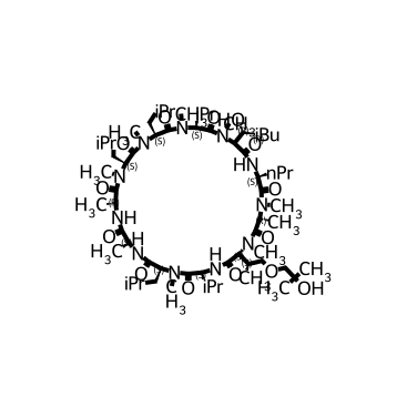 CCC[C@@H]1NC(=O)C([C@H](O)[C@H](C)CC)N(C)C(=O)[C@H](C(C)C)N(C)C(=O)[C@H](CC(C)C)N(C)C(=O)[C@H](CC(C)C)N(C)C(=O)[C@@H](C)NC(=O)[C@H](C)NC(=O)[C@H](CC(C)C)N(C)C(=O)[C@H](C(C)C)NC(=O)[C@H]([C@H](C)COCC(C)(C)O)N(C)C(=O)[C@@H](C)N(C)C1=O